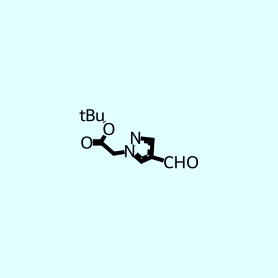 CC(C)(C)OC(=O)Cn1cc(C=O)cn1